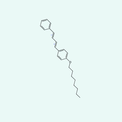 CCCCCCCCOc1ccc(/C=C/C=C/c2ccccc2)cc1